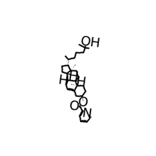 CC(CCCC(C)(C)O)[C@H]1CC[C@H]2[C@@H]3CC=C4C[C@@H](OC(=O)c5ccccn5)CC[C@]4(C)[C@H]3CC[C@]12C